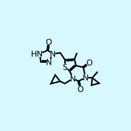 Cc1c(Cn2nc[nH]c2=O)sc2c1c(=O)n(C1(C)CC1)c(=O)n2CC1CC1